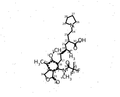 COc1c(C)c2c(c(N(C)C(=O)C(F)(F)F)c1C/C=C(\C)CC(CCN1CCCC1)C(=O)O)C(=O)OC2